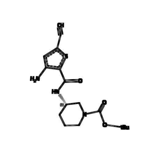 C#Cc1cc(N)c(C(=O)N[C@H]2CCCN(C(=O)OC(C)(C)C)C2)s1